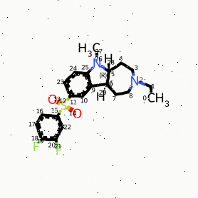 CCN1CC[C@@H]2[C@@H](CC1)c1cc(S(=O)(=O)c3ccc(F)c(F)c3)ccc1N2C